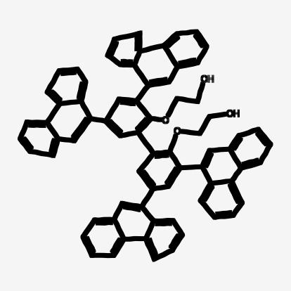 OCCOc1c(-c2cc(-c3cc4ccccc4c4ccccc34)cc(-c3cc4ccccc4c4ccccc34)c2OCCO)cc(-c2cc3ccccc3c3ccccc23)cc1-c1cc2ccccc2c2ccccc12